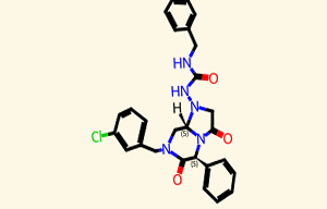 O=C(NCc1ccccc1)NN1CC(=O)N2[C@@H](c3ccccc3)C(=O)N(Cc3cccc(Cl)c3)C[C@H]12